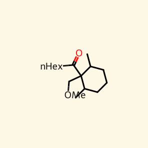 CCCCCCC(=O)C1(COC)C(C)CCCC1C